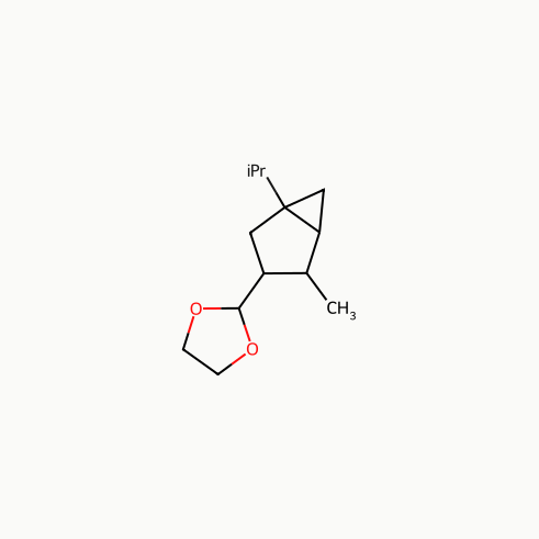 CC1C(C2OCCO2)CC2(C(C)C)CC12